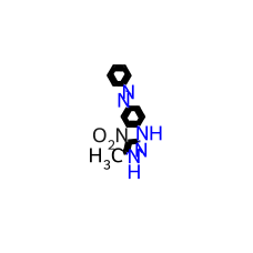 Cc1[nH]nc(Nc2ccc(N=Nc3ccccc3)cc2)c1[N+](=O)[O-]